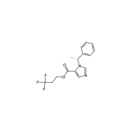 C[C@H](c1ccccc1)n1cncc1C(=O)OCCC(F)(F)F